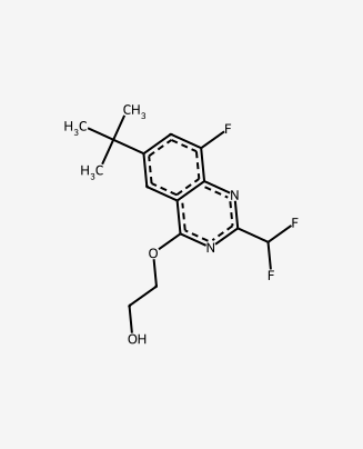 CC(C)(C)c1cc(F)c2nc(C(F)F)nc(OCCO)c2c1